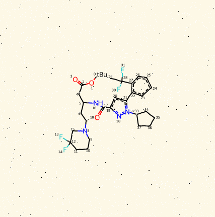 CC(C)(C)OC(=O)CC(CCN1CCCC(F)(F)C1)NC(=O)c1cc(-c2ccccc2C(C)(F)F)n(C2CCCC2)n1